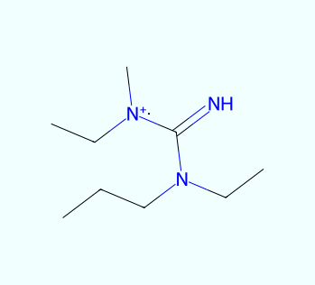 CCCN(CC)C(=N)[N+](C)CC